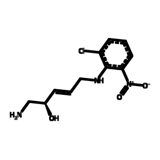 NC[C@H](O)/C=C/CNc1c(Cl)cccc1[N+](=O)[O-]